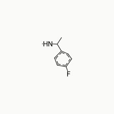 CC([NH])c1ccc(F)cc1